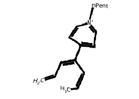 C=C/C=C(\C=C/C)c1cc[n+](CCCCC)cc1